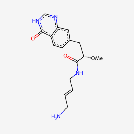 CO[C@@H](Cc1ccc2c(=O)[nH]cnc2c1)C(=O)NC/C=C/CN